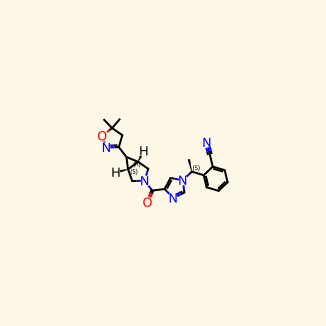 C[C@@H](c1ccccc1C#N)n1cnc(C(=O)N2C[C@@H]3C(C4=NOC(C)(C)C4)[C@@H]3C2)c1